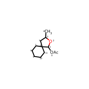 CC(=O)OC1OC(C)CC12CCCCC2